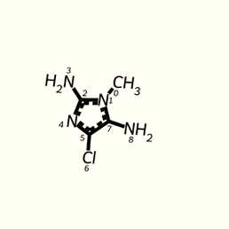 Cn1c(N)nc(Cl)c1N